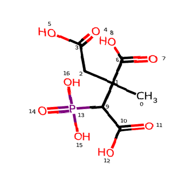 CC(CC(=O)O)(C(=O)O)C(C(=O)O)P(=O)(O)O